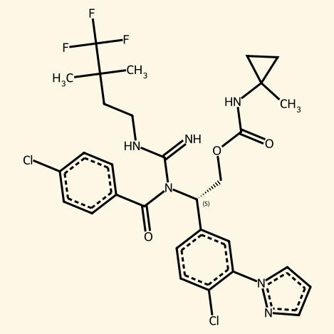 CC1(NC(=O)OC[C@H](c2ccc(Cl)c(-n3cccn3)c2)N(C(=N)NCCC(C)(C)C(F)(F)F)C(=O)c2ccc(Cl)cc2)CC1